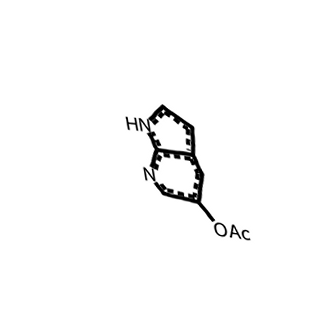 CC(=O)Oc1cnc2[nH]ccc2c1